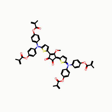 C=C(C)C(=O)Oc1ccc(N(c2ccc(OC(=O)C(=C)C)cc2)c2ccc(C3=C(OC)/C(=C4\C=CC(=[N+](c5ccc(OC(=O)C(=C)C)cc5)c5ccc(OC(=O)C(=C)C)cc5)S4)C(=O)C3=O)s2)cc1